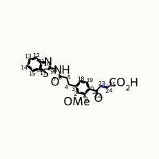 COc1cc(CCC(=O)Nc2nc3ccccc3s2)ccc1C(=O)/C=C/C(=O)O